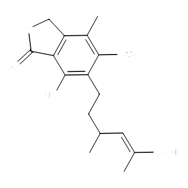 COc1c(C)c2c(c(O)c1CCC(C)/C=C(\C)C(=O)O)C(=O)OC2